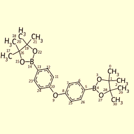 CC1(C)OB(c2ccc(Oc3ccc(B4OC(C)(C)C(C)(C)O4)cc3)cc2)OC1(C)C